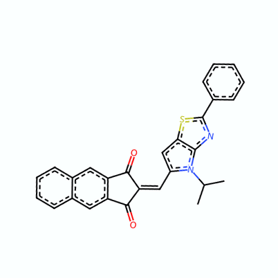 CC(C)n1c(C=C2C(=O)c3cc4ccccc4cc3C2=O)cc2sc(-c3ccccc3)nc21